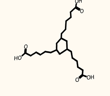 O=C(O)CCCCCC1[CH]C(CCCCCC(=O)O)CC(CCCCCC(=O)O)C1